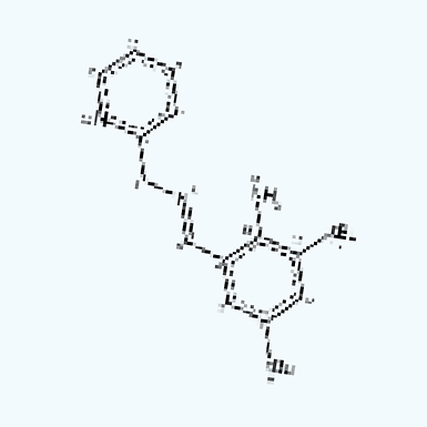 CC(C)(C)c1cc(/C=N/Cc2ccccn2)c(N)c(C(C)(C)C)c1